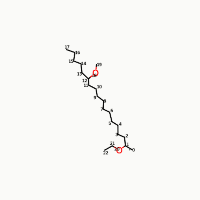 [CH2]C(CCCCCCCCCCC(CCCCC)OC)OCC